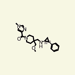 COCC1(CN[C@H]2C[C@H]2c2ccccc2)CCN(C(=O)c2cn(C)cn2)CC1